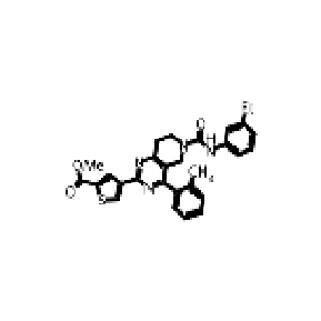 CCc1cccc(NC(=O)N2CCc3nc(-c4csc(C(=O)OC)c4)nc(-c4ccccc4C)c3C2)c1